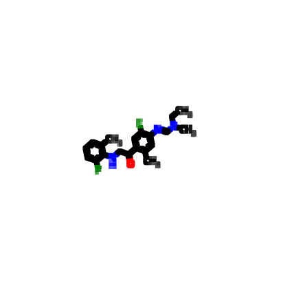 CCN(C)C=Nc1cc(C)c(C(=O)CNc2c(C)cccc2F)cc1F